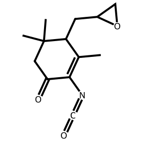 CC1=C(N=C=O)C(=O)CC(C)(C)C1CC1CO1